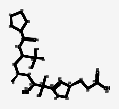 C[C@H](CC(OC(=O)C1CCCC1)C(C)(C)C)C[C@H](O)C(C)(C)C1=N[C@@H](CCC(=O)O)CS1